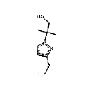 CC(C)(CO)n1ccc(CN)n1